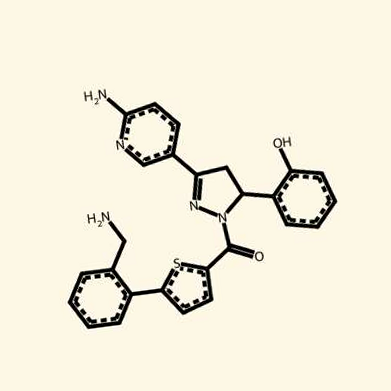 NCc1ccccc1-c1ccc(C(=O)N2N=C(c3ccc(N)nc3)CC2c2ccccc2O)s1